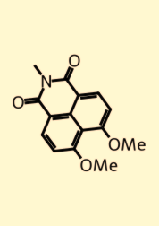 COc1ccc2c3c(ccc(OC)c13)C(=O)N(C)C2=O